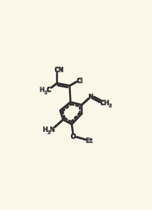 C=Nc1cc(OCC)c(N)cc1/C(Cl)=C(\C)C#N